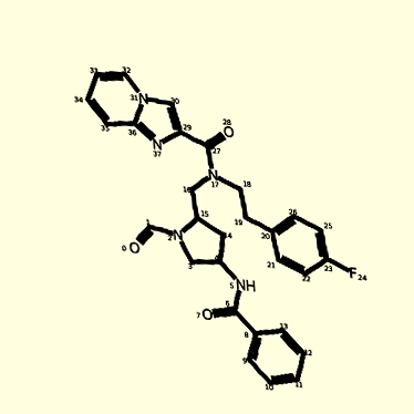 O=CN1CC(NC(=O)c2ccccc2)CC1CN(CCc1ccc(F)cc1)C(=O)c1cn2ccccc2n1